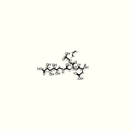 CN[C@@H](CC(=O)O)C(=O)N[C@@H](CC(=O)NC[C@H](O)[C@@H](O)[C@H](O)[C@H](O)C(=O)O)C(=O)N[C@@H](CSC)C(=O)O